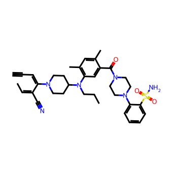 C#C/C=C(\C(C#N)=C/C)N1CCC(N(CCC)c2cc(C(=O)N3CCN(c4ccccc4S(N)(=O)=O)CC3)c(C)cc2C)CC1